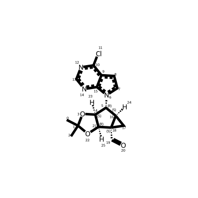 CC1(C)O[C@H]2[C@H](n3ccc4c(Cl)ncnc43)[C@H]3C[C@@]3(C=O)[C@H]2O1